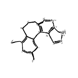 Cc1cc(C)c2c(c1)-c1c(cnc3[nH]ncc13)CC2